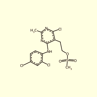 Cc1nc(Cl)c(CCOS(C)(=O)=O)c(Nc2ccc(Cl)cc2Cl)n1